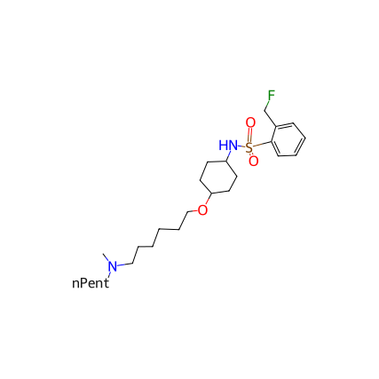 CCCCCN(C)CCCCCCOC1CCC(NS(=O)(=O)c2ccccc2CF)CC1